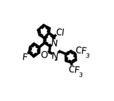 CN(Cc1cc(C(F)(F)F)cc(C(F)(F)F)c1)C(=O)c1nc(Cl)c2ccccc2c1-c1ccc(F)cc1